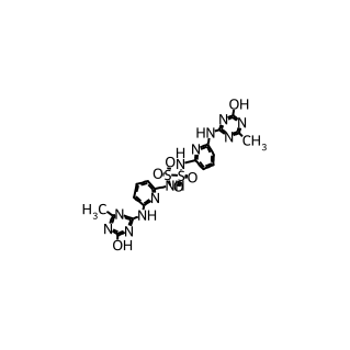 Cc1nc(O)nc(Nc2cccc(NS(=O)(=O)S(=O)(=O)Nc3cccc(Nc4nc(C)nc(O)n4)n3)n2)n1